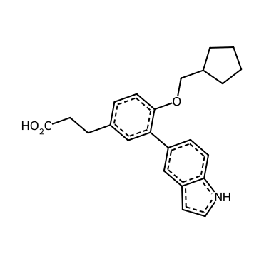 O=C(O)CCc1ccc(OCC2CCCC2)c(-c2ccc3[nH]ccc3c2)c1